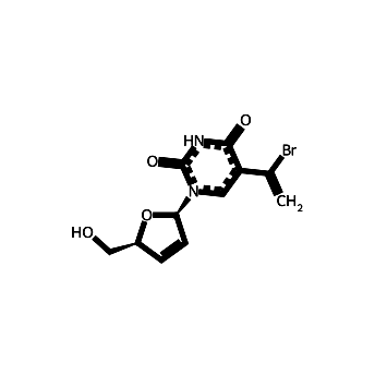 C=C(Br)c1cn([C@H]2C=C[C@@H](CO)O2)c(=O)[nH]c1=O